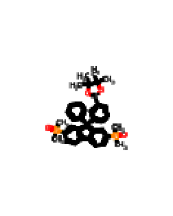 CC1(C)OB(c2cccc(C3(c4ccccc4)c4cc(P(C)(C)=O)ccc4-c4ccc(P(C)(C)=O)cc43)c2)OC1(C)C